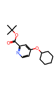 CC(C)(C)OC(=O)c1cc(OC2CCCCC2)ccn1